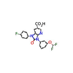 O=C(O)c1cnc2c(c1)n(-c1ccc(F)cc1)c(=O)n2-c1cccc(OC(F)F)c1